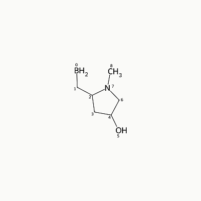 BCC1CC(O)CN1C